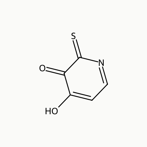 O=C1C(=S)N=CC=C1O